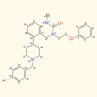 CCNC(=O)N(CCOc1ccccc1)Cc1ccccc1C1CCN(Cc2ccc(F)cc2)CC1